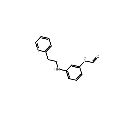 O=CNc1cccc(NCCc2ccccn2)c1